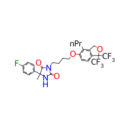 CCCc1c(OCCCCN2C(=O)NC(C)(c3ccc(F)cc3)C2=O)ccc2c1COC2(C(F)(F)F)C(F)(F)F